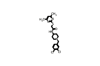 Cc1cc(C)nc(SCC(=O)NC2CCN(Cc3ccc(Cl)c(Cl)c3)CC2)n1